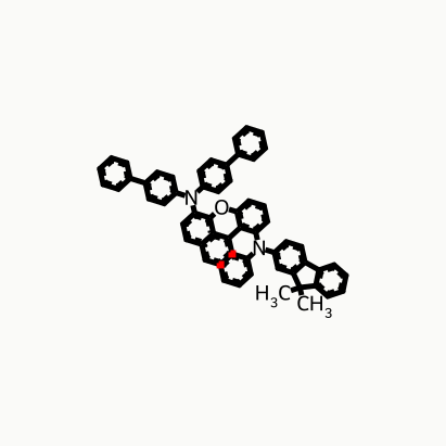 CC1(C)c2ccccc2-c2ccc(N(c3ccccc3)c3cccc4c3-c3cccc5ccc(N(c6ccc(-c7ccccc7)cc6)c6ccc(-c7ccccc7)cc6)c(c35)O4)cc21